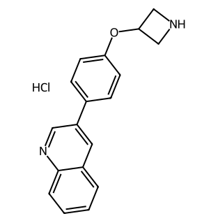 Cl.c1ccc2ncc(-c3ccc(OC4CNC4)cc3)cc2c1